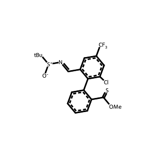 COC(=S)c1ccccc1-c1c(Cl)cc(C(F)(F)F)cc1/C=N/[S+]([O-])C(C)(C)C